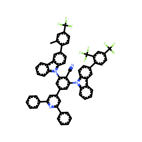 Cc1cc(C(F)(F)F)ccc1-c1ccc2c(c1)c1ccccc1n2-c1cc(-c2cc(-c3ccccc3)nc(-c3ccccc3)c2)cc(-n2c3ccccc3c3cc(-c4ccc(C(F)(F)F)cc4C(F)(F)F)ccc32)c1C#N